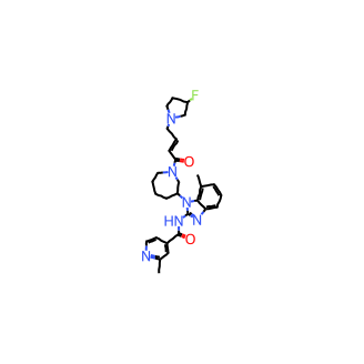 Cc1cc(C(=O)Nc2nc3cccc(C)c3n2C2CCCCN(C(=O)/C=C/CN3CCC(F)C3)C2)ccn1